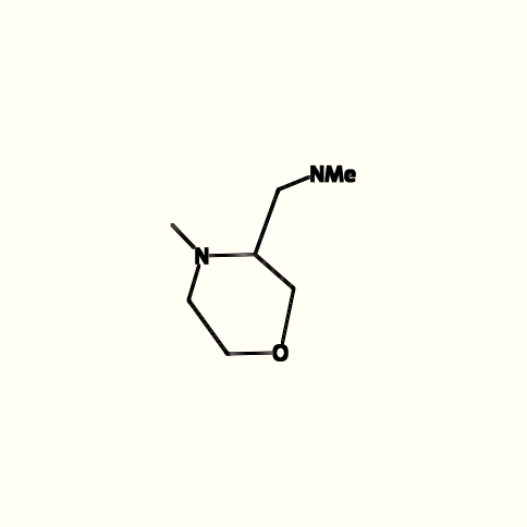 CNCC1COCCN1C